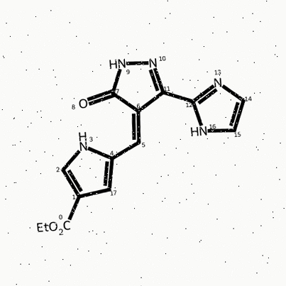 CCOC(=O)c1c[nH]c(C=C2C(=O)NN=C2c2ncc[nH]2)c1